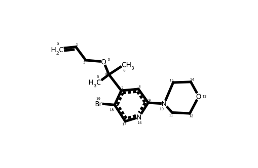 C=CCOC(C)(C)c1cc(N2CCOCC2)ncc1Br